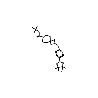 CC(C)(C)OC(=O)N1CCC2(CC1)CC(Oc1ccc(B3OC(C)(C)C(C)(C)O3)cn1)C2